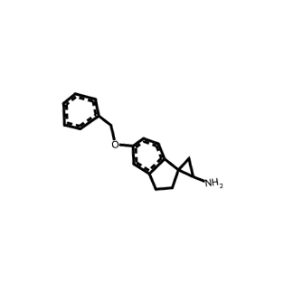 NC1CC12CCc1cc(OCc3ccccc3)ccc12